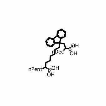 CCCCCCCCCCC(CC1(CCCCCCC(CCCCC)B(O)O)c2ccccc2-c2ccccc21)B(O)O